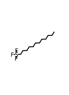 CCCCCCCCCCCCS(F)(F)F